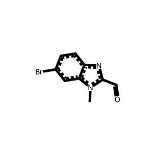 Cn1c(C=O)nc2ccc(Br)cc21